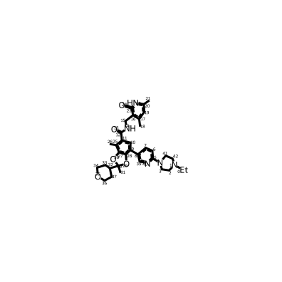 CCN1CCN(c2ccc(-c3cc(C(=O)NCc4c(C)cc(C)[nH]c4=O)c(C)c4c3OC(C)(C3CCOCC3)O4)cn2)CC1